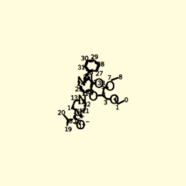 CCOCC(COCC)Oc1c(N2CCN([S+]([O-])C(C)C)CC2)cnn(-c2ccccc2)c1=O